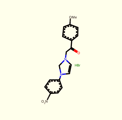 Br.COc1ccc(C(=O)CN2C=CN(c3ccc([N+](=O)[O-])cc3)C2)cc1